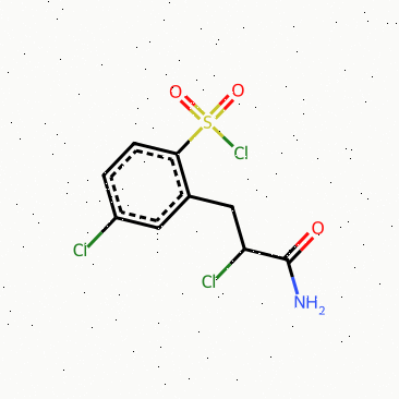 NC(=O)C(Cl)Cc1cc(Cl)ccc1S(=O)(=O)Cl